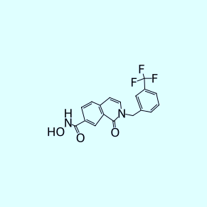 O=C(NO)c1ccc2ccn(Cc3cccc(C(F)(F)F)c3)c(=O)c2c1